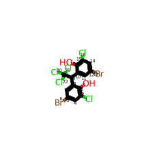 Oc1c(Cl)cc(Br)cc1C(c1cc(Br)cc(Cl)c1O)C(Cl)(Cl)Cl